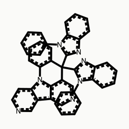 c1ccc(-n2c(C3(c4nc5ccccc5n4-c4ccccc4)c4ccccc4-n4c5ccncc5c5cncc3c54)nc3ccccc32)cc1